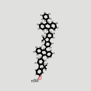 CCCCOc1ccc2c(c1)C(C)(C)c1cc(-c3c4ccccc4c(-c4ccc5c(c4)C(C)(C)c4cc(-c6c7ccccc7c(-c7ccccc7)c7ccccc67)ccc4-5)c4ccccc34)ccc1-2